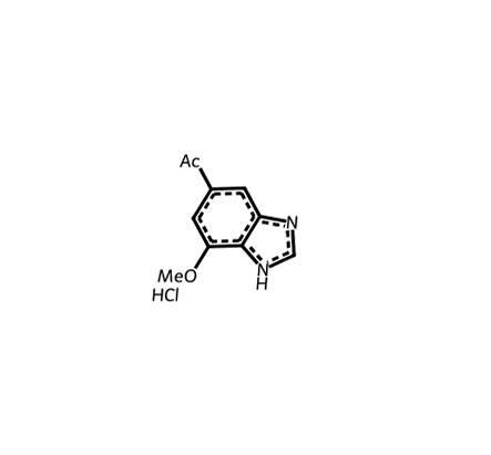 COc1cc(C(C)=O)cc2nc[nH]c12.Cl